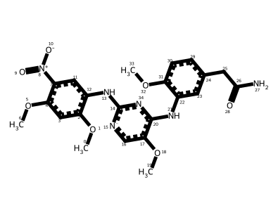 COc1cc(OC)c([N+](=O)[O-])cc1Nc1ncc(OC)c(Nc2cc(CC(N)=O)ccc2OC)n1